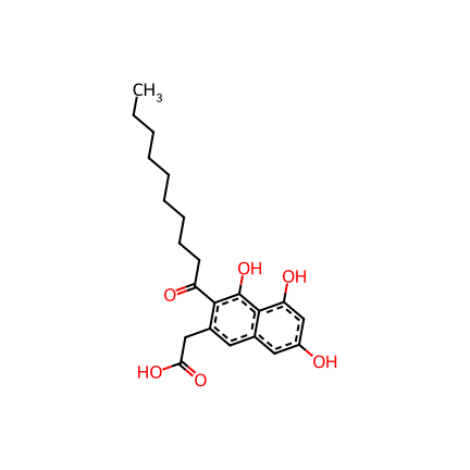 CCCCCCCCCC(=O)c1c(CC(=O)O)cc2cc(O)cc(O)c2c1O